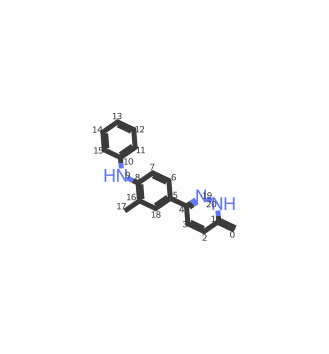 C=C1C=CC(c2ccc(Nc3ccccc3)c(C)c2)=NN1